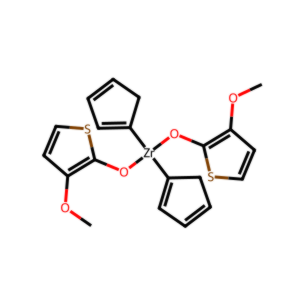 COc1ccsc1[O][Zr]([O]c1sccc1OC)([C]1=CC=CC1)[C]1=CC=CC1